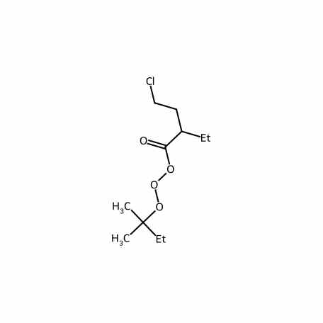 CCC(CCCl)C(=O)OOOC(C)(C)CC